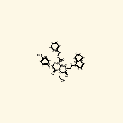 O=C1[C@H](CO)N2C(=O)[C@@H](Cc3ccc(O)cc3)ON(C(=O)OCc3ccccc3)C2CN1CCc1cccc2ccccc12